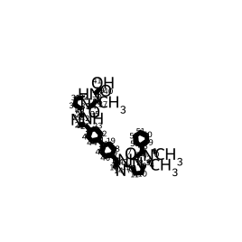 CCN(CC)[C@@H](C(=O)N1CCC[C@H]1c1ncc(-c2ccc(-c3ccc(-c4cnc([C@H]5CCCN5C(=O)[C@@H](C)NC(=O)O)[nH]4)cc3)cc2)[nH]1)c1ccccc1